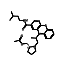 CC(=O)OC[C@H]1CCCN1CC(C)N1c2ccccc2Sc2ccc(C(=O)NCCC(C)C)cc21